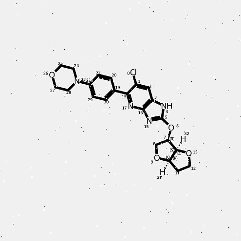 Clc1cc2[nH]c(O[C@@H]3CO[C@@H]4CCO[C@@H]43)nc2nc1-c1ccc(N2CCOCC2)cc1